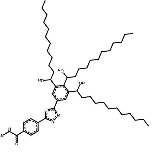 CCCCCCCCCCCC(O)c1cc(-c2nnc(-c3ccc(C(=O)NN)cc3)o2)cc(C(O)CCCCCCCCCCC)c1C(O)CCCCCCCCCCC